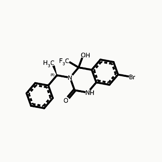 C[C@H](c1ccccc1)N1C(=O)Nc2cc(Br)ccc2C1(O)C(F)(F)F